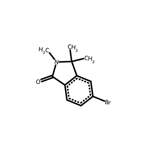 CN1C(=O)c2ccc(Br)cc2C1(C)C